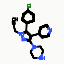 C#CCn1nc(N2CCNCC2)c(-c2ccncc2)c1-c1ccc(Cl)cc1